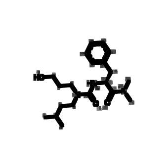 CC(C)CCN(CCCO)C(=O)N[C@@H](Cc1ccccc1)C(=O)N(C)C